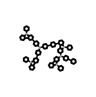 c1ccc(-c2ccc(N(c3ccc4c5ccccc5n(-c5ccccc5)c4c3)c3ccc4c5c(-c6ccc(-c7ccc(N(c8ccc(-c9ccc%10c(c9)c9ccccc9n%10-c9ccccc9)cc8)c8ccc(-c9ccc%10c%11ccccc%11n(-c%11ccccc%11)c%10c9)cc8)cc7)cc6)cccc5n(-c5ccccc5)c4c3)cc2)cc1